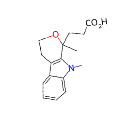 Cn1c2c(c3ccccc31)CCOC2(C)CCC(=O)O